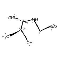 CCCCCN[C@@H]([C]=O)[C@H](C)O